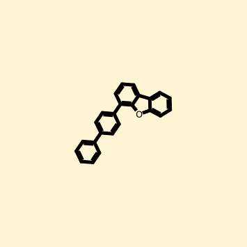 c1ccc(-c2ccc(-c3cccc4c3oc3ccccc34)cc2)cc1